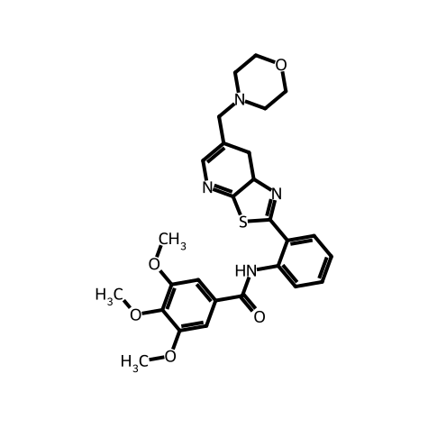 COc1cc(C(=O)Nc2ccccc2C2=NC3CC(CN4CCOCC4)=CN=C3S2)cc(OC)c1OC